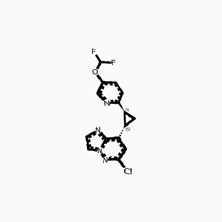 FC(F)Oc1ccc([C@H]2C[C@@H]2c2cc(Cl)nn3ccnc23)nc1